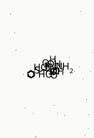 NC(=O)NC(CCCSc1ccccc1)(P(=O)(O)O)P(=O)(O)O